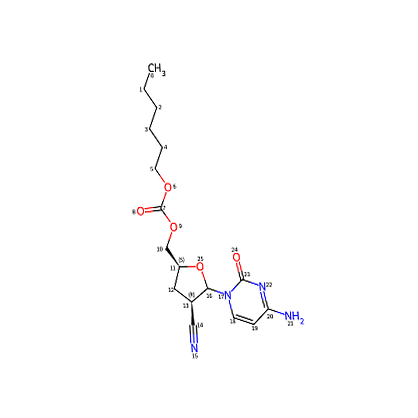 CCCCCCOC(=O)OC[C@@H]1C[C@H](C#N)C(n2ccc(N)nc2=O)O1